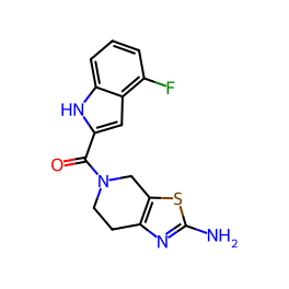 Nc1nc2c(s1)CN(C(=O)c1cc3c(F)cccc3[nH]1)CC2